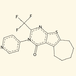 O=c1c2c3c(sc2nc(C(F)(F)F)n1-c1ccncc1)CCCCC3